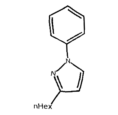 CCCCCCc1ccn(-c2ccccc2)n1